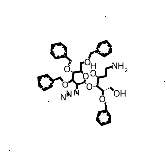 [N-]=[N+]=NC1C(OCc2ccccc2)[C@H](OCc2ccccc2)C(COCc2ccccc2)O[C@H]1O[C@H]([C@H](O)CCN)[C@H](CO)OCc1ccccc1